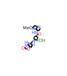 COc1ccc2nccc(NC(=O)[C@@H]3CC[C@@H](NCc4ccc5c(n4)NC(=O)CO5)[C@@H](F)C3)c2n1.Cl